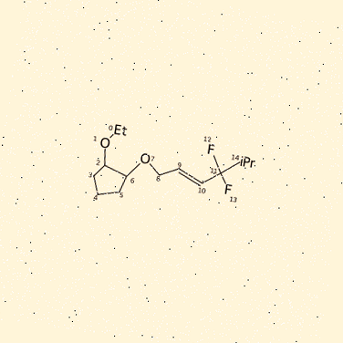 CCOC1CCCC1OC/C=C/C(F)(F)C(C)C